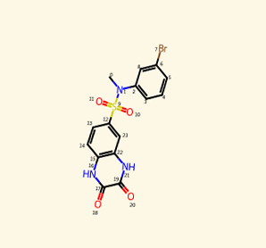 CN(c1cccc(Br)c1)S(=O)(=O)c1ccc2[nH]c(=O)c(=O)[nH]c2c1